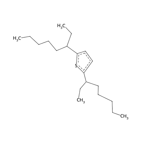 CCCCCC(CC)c1ccc(C(CC)CCCCC)s1